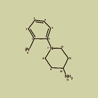 CC(C)c1ccccc1N1CCC(N)CC1